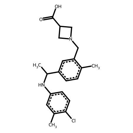 Cc1cc(NC(C)c2ccc(C)c(CN3CC(C(=O)O)C3)c2)ccc1Cl